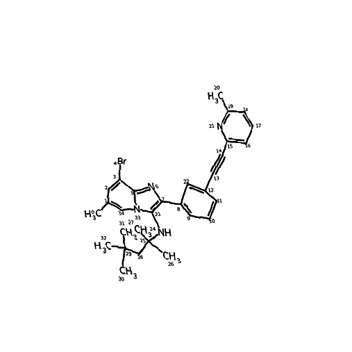 Cc1cc(Br)c2nc(-c3cccc(C#Cc4cccc(C)n4)c3)c(NC(C)(C)CC(C)(C)C)n2c1